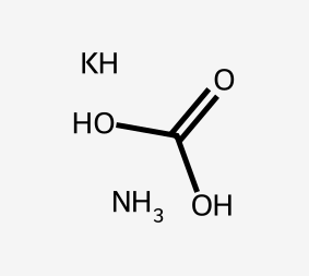 N.O=C(O)O.[KH]